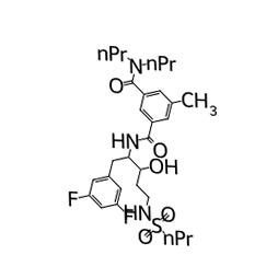 CCCN(CCC)C(=O)c1cc(C)cc(C(=O)NC(Cc2cc(F)cc(F)c2)C(O)CCNS(=O)(=O)CCC)c1